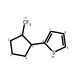 FC(F)(F)C1CCCC1c1cccs1